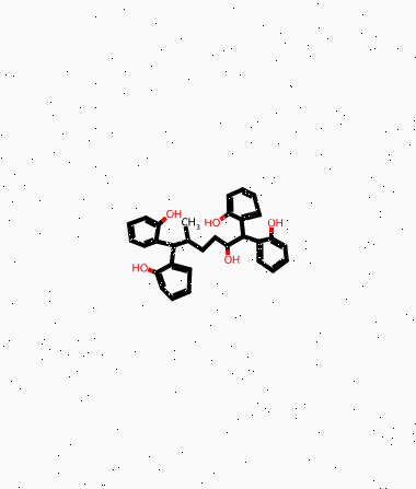 CC(CCC(O)C(c1ccccc1O)c1ccccc1O)C(c1ccccc1O)c1ccccc1O